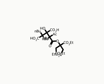 CCCCC(CCCC)(C(=O)O)C(O)(C(=O)O)C(CCCC)(C(C)=O)C(=O)OC(CC(=O)OCC)(CC(=O)OCC)C(=O)OCC